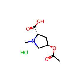 CC(=O)O[C@@H]1C[C@@H](C(=O)O)N(C)C1.Cl